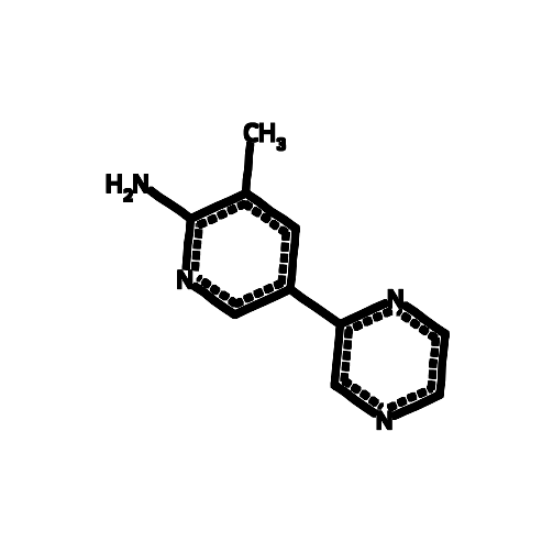 Cc1cc(-c2cnccn2)cnc1N